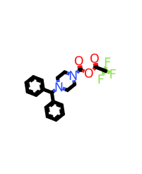 O=C(OC(=O)C(F)(F)F)N1CCN(C(c2ccccc2)c2ccccc2)CC1